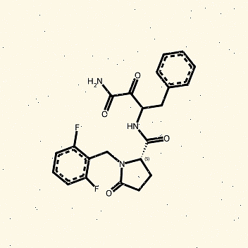 NC(=O)C(=O)C(Cc1ccccc1)NC(=O)[C@@H]1CCC(=O)N1Cc1c(F)cccc1F